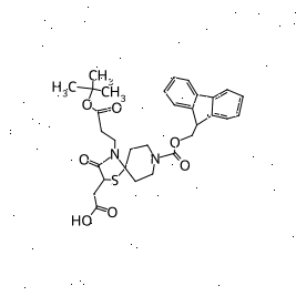 CC(C)(C)OC(=O)CCN1C(=O)C(CC(=O)O)SC12CCN(C(=O)OCC1c3ccccc3-c3ccccc31)CC2